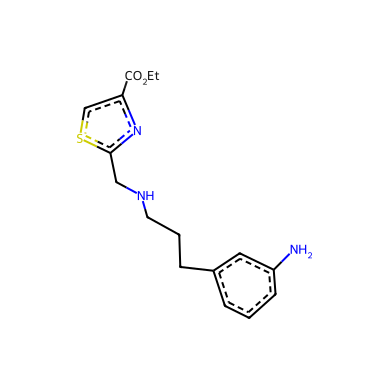 CCOC(=O)c1csc(CNCCCc2cccc(N)c2)n1